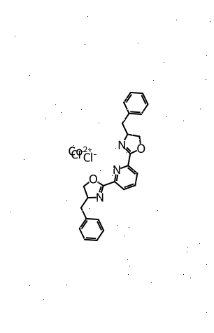 [Cl-].[Cl-].[Co+2].c1ccc(CC2COC(c3cccc(C4=NC(Cc5ccccc5)CO4)n3)=N2)cc1